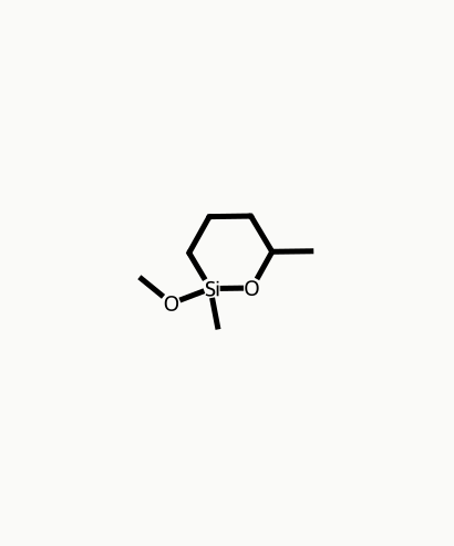 CO[Si]1(C)CCCC(C)O1